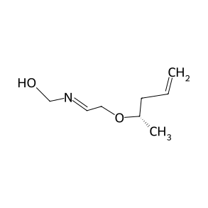 C=CC[C@H](C)OC/C=N/CO